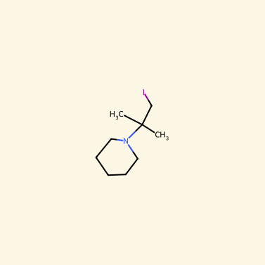 CC(C)(CI)N1CCCCC1